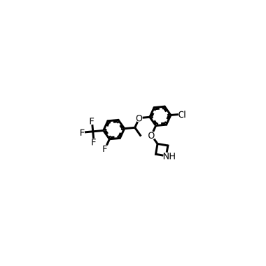 CC(Oc1ccc(Cl)cc1OC1CNC1)c1ccc(C(F)(F)F)c(F)c1